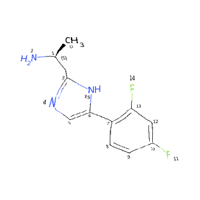 C[C@H](N)c1ncc(-c2ccc(F)cc2F)[nH]1